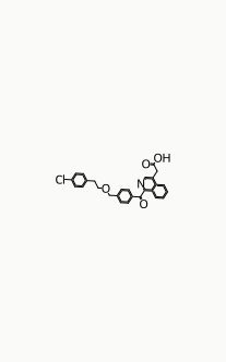 O=C(O)Cc1cnc(C(=O)c2ccc(COCCc3ccc(Cl)cc3)cc2)c2ccccc12